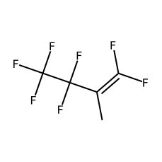 CC(=C(F)F)C(F)(F)C(F)(F)F